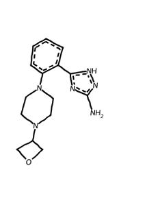 Nc1n[nH]c(-c2ccccc2N2CCN(C3COC3)CC2)n1